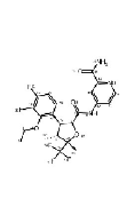 CCOc1c([C@H]2[C@@H](C(=O)Nc3ccnc(C(N)=O)c3)O[C@](C)(C(F)(F)F)[C@@H]2C)ccc(F)c1F